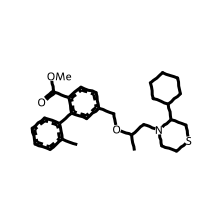 COC(=O)c1ccc(COC(C)CN2CCSCC2C2CCCCC2)cc1-c1ccccc1C